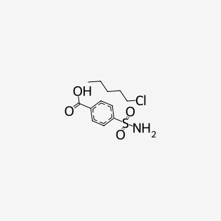 CCCCCCl.NS(=O)(=O)c1ccc(C(=O)O)cc1